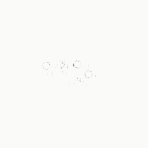 CN(C(=O)c1cc(C(F)(F)F)cc(C(F)(F)F)c1)C(CCC(=O)NS(=O)(=O)C=Cc1ccccc1Cl)Cc1ccc(Cl)cc1